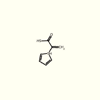 C=C(C(=O)S)[SH]1C=CC=C1